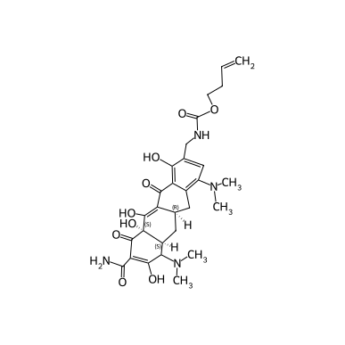 C=CCCOC(=O)NCc1cc(N(C)C)c2c(c1O)C(=O)C1=C(O)[C@]3(O)C(=O)C(C(N)=O)=C(O)C(N(C)C)[C@@H]3C[C@@H]1C2